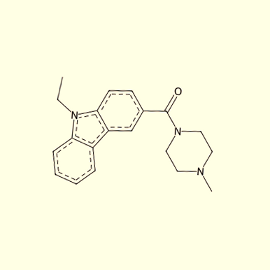 CCn1c2ccccc2c2cc(C(=O)N3CCN(C)CC3)ccc21